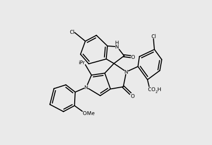 COc1ccccc1-n1cc2c(c1C(C)C)C1(C(=O)Nc3cc(Cl)ccc31)N(c1cc(Cl)ccc1C(=O)O)C2=O